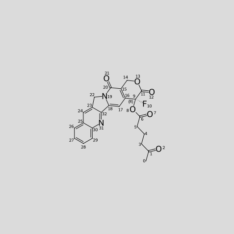 CC(=O)CCCC(=O)O[C@]1(F)C(=O)OCc2c1cc1n(c2=O)Cc2cc3ccccc3nc2-1